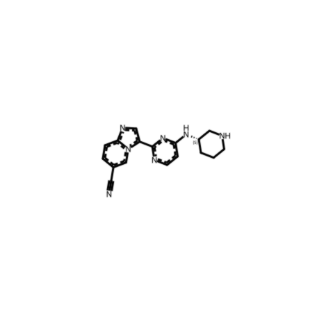 N#Cc1ccc2ncc(-c3nccc(N[C@H]4CCCNC4)n3)n2c1